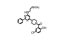 CC(=O)NCCNc1cc(N2CCN(C(=O)c3cc(Cl)ccc3O)CC2)nc(-c2ccccc2)n1